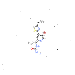 CC(C)Cc1csc(-c2cc(C(C)NC(N)=O)ncc2Br)n1